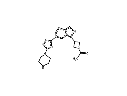 CC(=O)N1CC(n2ncc3ccc(-c4nc(N5CCNCC5)no4)cc32)C1